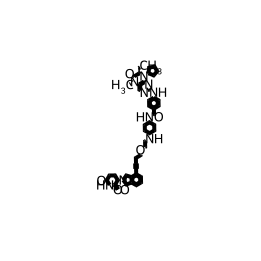 CC[C@@H]1C(=O)N(C)c2cnc(Nc3ccc(C(=O)N[C@H]4CC[C@@H](NCCOCCC#Cc5cccc6c5CN([C@H]5CCC(=O)NC5=O)C6=O)CC4)cc3)nc2N1C1CCCC1